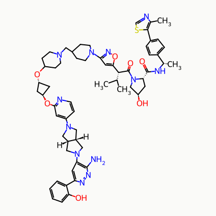 Cc1ncsc1-c1ccc([C@H](C)NC(=O)[C@@H]2C[C@@H](O)CN2C(=O)[C@@H](c2cc(N3CCC(CN4CCC(O[C@H]5C[C@H](Oc6cc(N7C[C@@H]8CN(c9cc(-c%10ccccc%10O)nnc9N)C[C@@H]8C7)ccn6)C5)CC4)CC3)no2)C(C)C)cc1